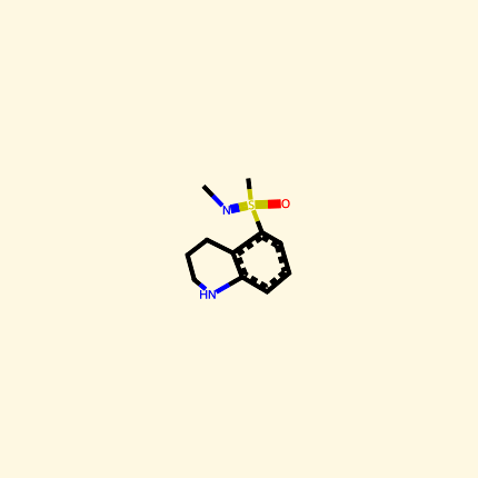 CN=S(C)(=O)c1cccc2c1CCCN2